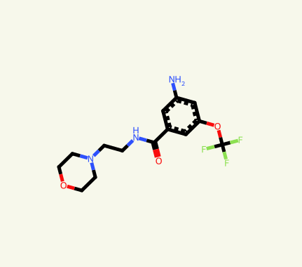 Nc1cc(OC(F)(F)F)cc(C(=O)NCCN2CCOCC2)c1